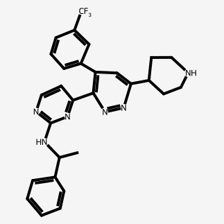 CC(Nc1nccc(-c2nnc(C3CCNCC3)cc2-c2cccc(C(F)(F)F)c2)n1)c1ccccc1